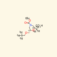 [2H]C([2H])([2H])COC[C@@H]1CN(C(=O)OC(C)(C)C)C[C@@](C(=O)O)(C([2H])([2H])[2H])O1